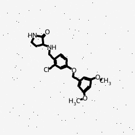 COc1cc(COc2ccc(CNC3CCNC3=O)c(Cl)c2)cc(OC)c1